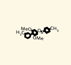 COc1cc(OSc2ccc(C)cc2)cc(OC)c1C1C=C(C)CCC1